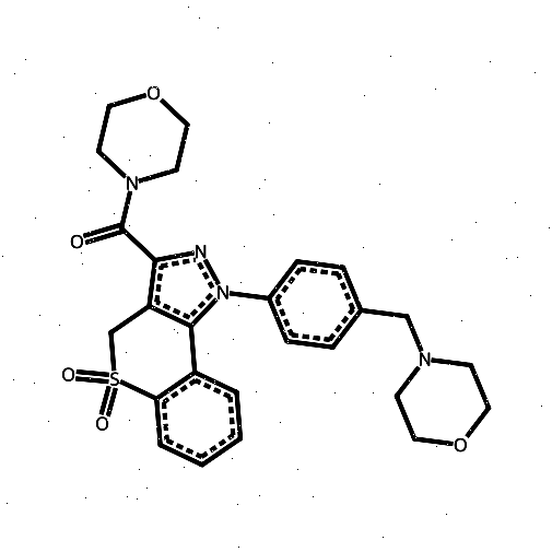 O=C(c1nn(-c2ccc(CN3CCOCC3)cc2)c2c1CS(=O)(=O)c1ccccc1-2)N1CCOCC1